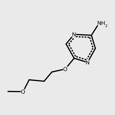 COCCCOc1cnc(N)cn1